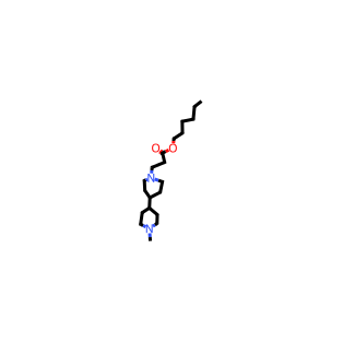 CCCCCCOC(=O)CCN1CCC(C2CCN(C)CC2)CC1